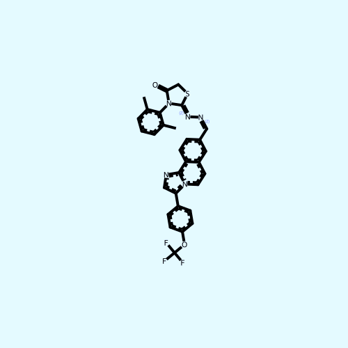 Cc1cccc(C)c1N1C(=O)CS/C1=N\N=C/c1ccc2c(ccn3c(-c4ccc(OC(F)(F)F)cc4)cnc23)c1